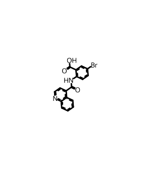 O=C(O)c1cc(Br)ccc1NC(=O)c1ccnc2ccccc12